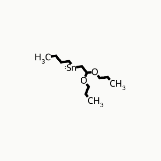 CCC[CH2][Sn][CH2]C(OCCC)OCCC